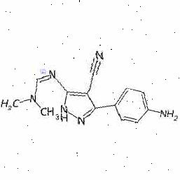 CN(C)/C=N\c1[nH]nc(-c2ccc(N)cc2)c1C#N